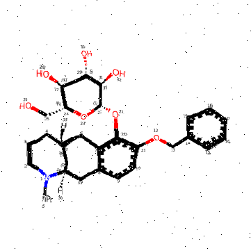 CCCN1CCC[C@@H]2Cc3c(ccc(OCc4ccccc4)c3O[C@@H]3O[C@H](CO)[C@@H](O)[C@H](O)[C@H]3O)C[C@H]21